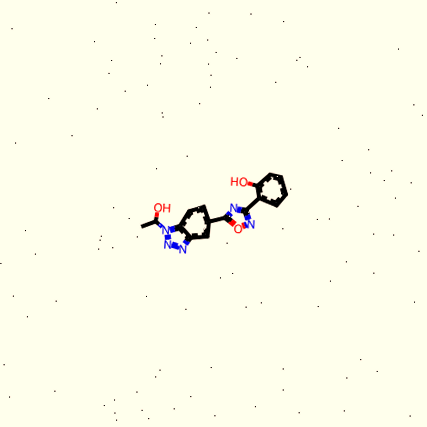 CC(O)n1nnc2cc(-c3nc(-c4ccccc4O)no3)ccc21